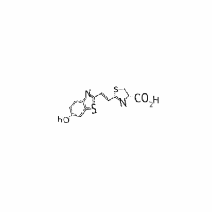 O=C(O)[C@H]1CSC(C=Cc2nc3ccc(O)cc3s2)=N1